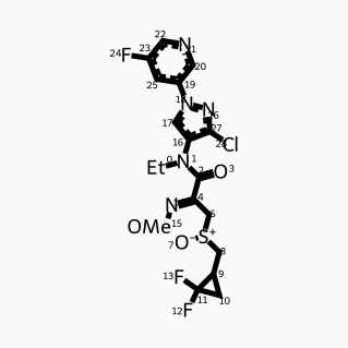 CCN(C(=O)C(C[S+]([O-])CC1CC1(F)F)=NOC)c1cn(-c2cncc(F)c2)nc1Cl